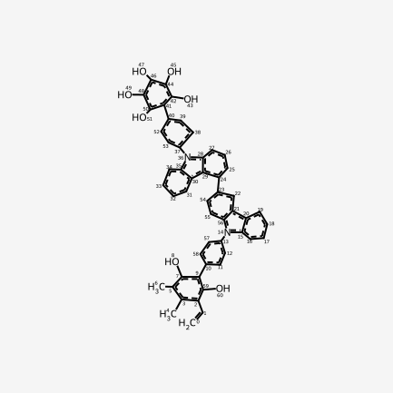 C=Cc1c(C)c(C)c(O)c(-c2ccc(-n3c4ccccc4c4cc(-c5cccc6c5c5ccccc5n6-c5ccc(-c6c(O)c(O)c(O)c(O)c6O)cc5)ccc43)cc2)c1O